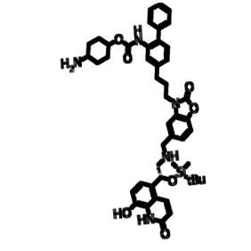 CC(C)(C)[Si](C)(C)O[C@@H](CNCc1ccc2oc(=O)n(CCCc3ccc(-c4ccccc4)c(NC(=O)OC4CCC(N)CC4)c3)c2c1)c1ccc(O)c2[nH]c(=O)ccc12